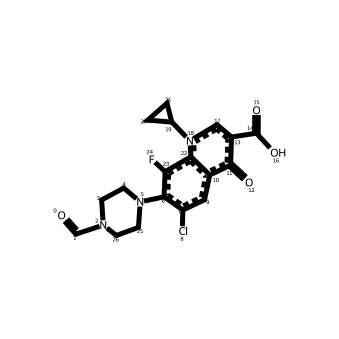 O=CN1CCN(c2c(Cl)cc3c(=O)c(C(=O)O)cn(C4CC4)c3c2F)CC1